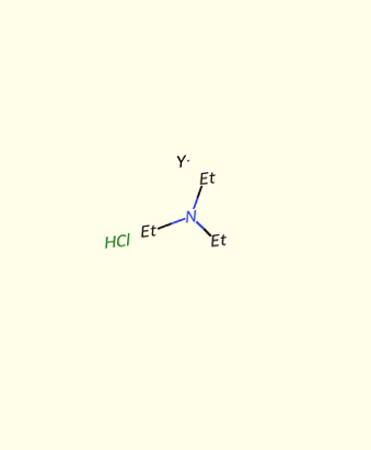 CCN(CC)CC.Cl.[Y]